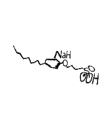 CCCCCCCCc1ccc(OCCCCS(=O)(=O)O)cc1.[NaH]